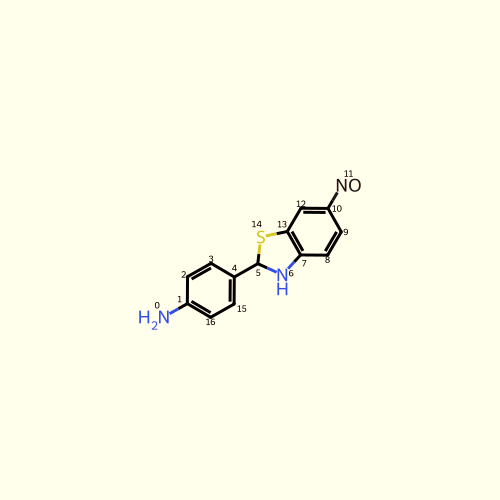 Nc1ccc(C2Nc3ccc(N=O)cc3S2)cc1